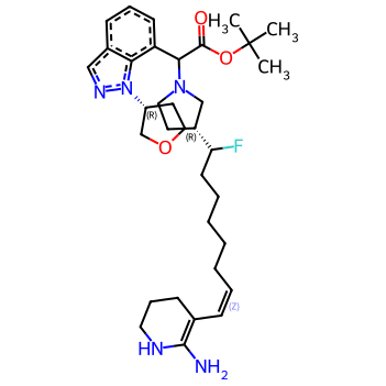 CC(C)(C)OC(=O)C(c1cccc2cnn([C@@H]3CCOC3)c12)N1CC[C@@H](C(F)CCCCC/C=C\C2=C(N)NCCC2)C1